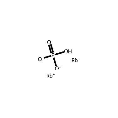 O=P([O-])([O-])O.[Rb+].[Rb+]